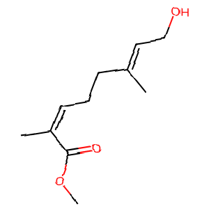 COC(=O)/C(C)=C\CC/C(C)=C/CO